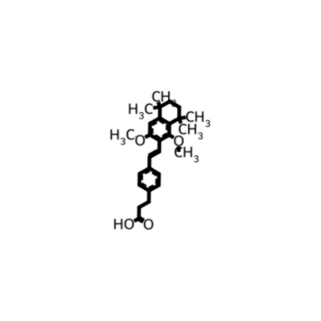 COc1cc2c(c(OC)c1C=Cc1ccc(CCC(=O)O)cc1)C(C)(C)CCC2(C)C